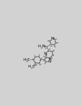 Cc1ccc(-c2cnn3ccc(C(N)c4cccnc4)nc23)cc1C